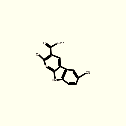 COC(=O)c1cc2c(nc1Cl)[nH]c1ccc(C#N)cc12